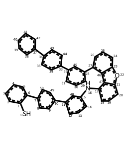 Sc1ccccc1-c1ccc(-c2cccc(Nc3cccc4oc5cccc(-c6cccc(-c7ccc(-c8ccccc8)cc7)c6)c5c34)c2)cc1